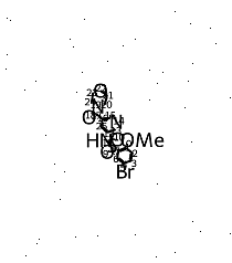 COc1ccc(Br)cc1S(=O)(=O)Nc1cncc(C(=O)N2CCOCC2)c1